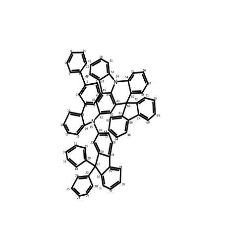 c1ccc(-c2cccc(-c3ccccc3N(c3ccc4c(c3)C(c3ccccc3)(c3ccccc3)c3ccccc3-4)c3cc4c5c(c3)c3ccccc3n5-c3ccccc3C43c4ccccc4-c4ccccc43)c2)cc1